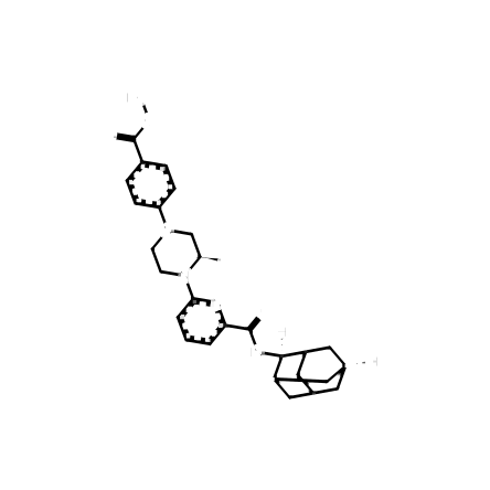 COC(=O)c1ccc(N2CCN(c3cccc(C(=O)N[C@H]4C5CC6CC4C[C@](O)(C6)C5)n3)[C@H](C)C2)cc1